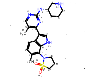 N#Cc1ccc2c(-c3nc(N[C@H]4CCCNC4)ncc3C(F)(F)F)c[nH]c2c1N1CCCS1(=O)=O